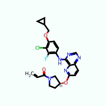 C=CC(=O)N1CC[C@H](Oc2ccc3ncnc(Nc4ccc(OCC5CC5)c(Cl)c4F)c3n2)C1